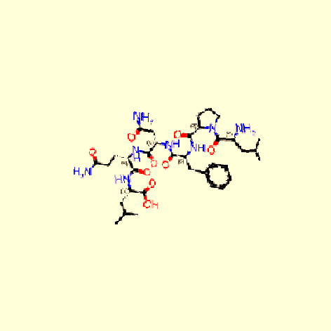 CC(C)C[C@H](NC(=O)[C@H](CCC(N)=O)NC(=O)[C@H](CC(N)=O)NC(=O)[C@H](Cc1ccccc1)NC(=O)[C@H]1CCCN1C(=O)[C@@H](N)CC(C)C)C(=O)O